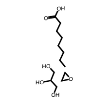 C1CO1.CCCCCCCC(=O)O.OCC(O)CO